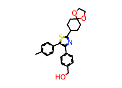 Cc1ccc(-c2sc(C3CCC4(CC3)OCCO4)nc2-c2ccc(CO)cc2)cc1